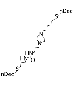 CCCCCCCCCCCSCCCCCCN1CCN(CCCNC(=O)NCCCSCCCCCCCCCCC)CC1